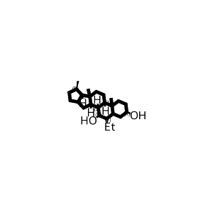 CC[C@@H]1C2C[C@H](O)CCC2(C)[C@H]2CCC3(C)[C@@H]4C(CC[C@H]4C)C[C@H]3[C@H]2[C@@H]1O